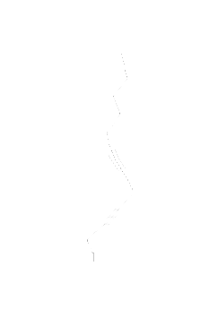 CCCCCC#CCC#CCI